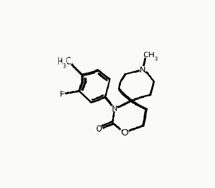 Cc1ccc(N2C(=O)OCCC23CCN(C)CC3)cc1F